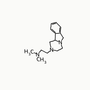 CN(C)CCN1CCN2Cc3ccccc3C2C1